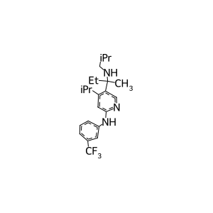 CCC(C)(NCC(C)C)c1cnc(Nc2cccc(C(F)(F)F)c2)cc1C(C)C